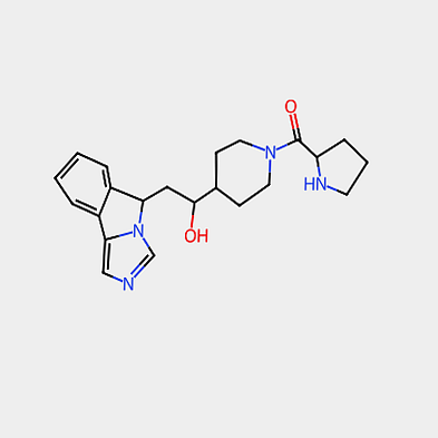 O=C(C1CCCN1)N1CCC(C(O)CC2c3ccccc3-c3cncn32)CC1